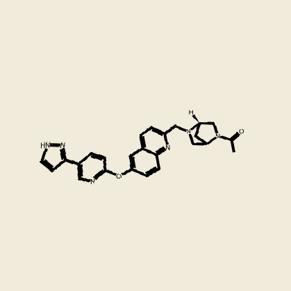 CC(=O)N1C[C@@H]2CC1CN2Cc1ccc2cc(Oc3ccc(-c4cc[nH]n4)cn3)ccc2n1